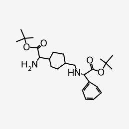 CC(C)(C)OC(=O)C(N)C1CCC(CN[C@H](C(=O)OC(C)(C)C)c2ccccc2)CC1